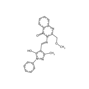 COCc1nc2ccccc2c(=O)n1N=Cc1c(C)nn(-c2ccccc2)c1O